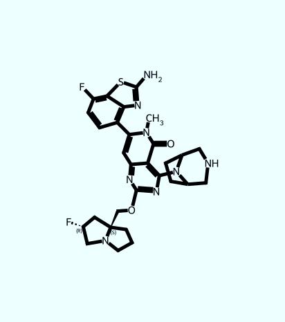 Cn1c(-c2ccc(F)c3sc(N)nc23)cc2nc(OC[C@@]34CCCN3C[C@H](F)C4)nc(N3C4CCC3CNC4)c2c1=O